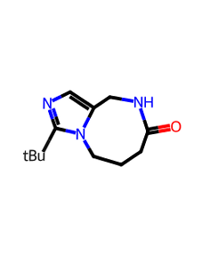 CC(C)(C)c1ncc2n1CCCC(=O)NC2